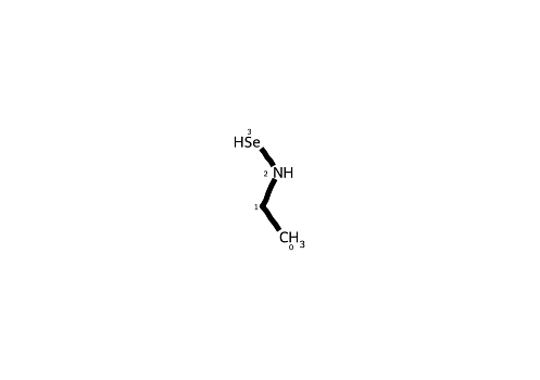 CCN[SeH]